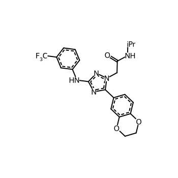 CC(C)NC(=O)Cn1nc(Nc2cccc(C(F)(F)F)c2)nc1-c1ccc2c(c1)OCCO2